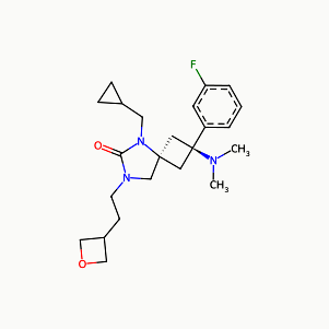 CN(C)[C@]1(c2cccc(F)c2)C[C@@]2(CN(CCC3COC3)C(=O)N2CC2CC2)C1